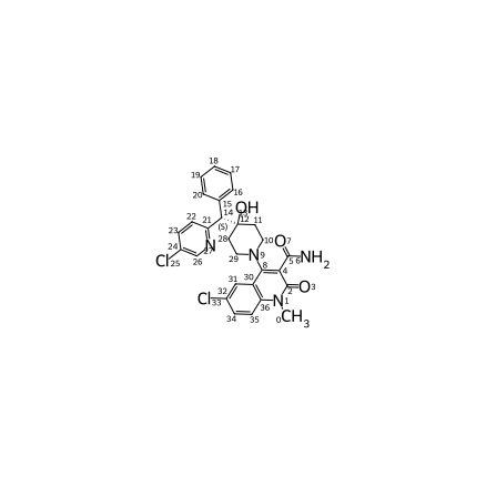 Cn1c(=O)c(C(N)=O)c(N2CCC(O)([C@@H](c3ccccc3)c3ccc(Cl)cn3)CC2)c2cc(Cl)ccc21